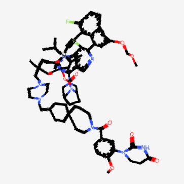 COCOc1cc(-c2ncc3c(N4CC5CCC(C4)N5C(=O)OC(C)(C)C)nc(CC(C)(C)CN4CCN(CC5CCC6(CC5)CCN(C(=O)c5ccc(OC)c(N7CCC(=O)NC7=O)c5)CC6)CC4)nc3c2F)c2c(C#C[Si](C(C)C)(C(C)C)C(C)C)c(F)ccc2c1